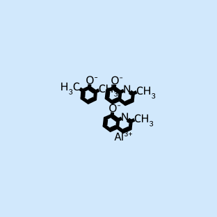 Cc1ccc2cccc([O-])c2n1.Cc1ccc2cccc([O-])c2n1.Cc1cccc(C)c1[O-].[Al+3]